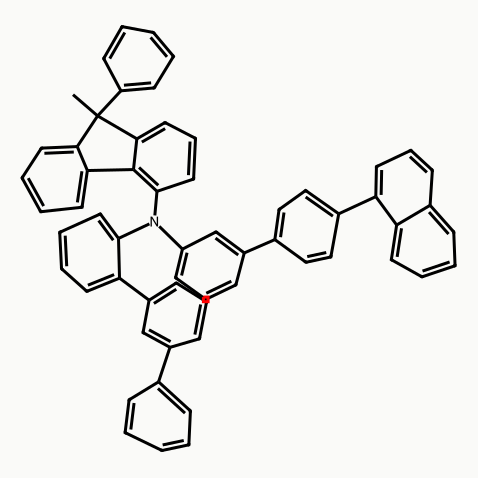 CC1(c2ccccc2)c2ccccc2-c2c(N(c3cccc(-c4ccc(-c5cccc6ccccc56)cc4)c3)c3ccccc3-c3cccc(-c4ccccc4)c3)cccc21